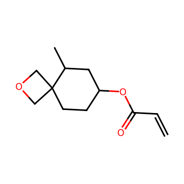 C=CC(=O)OC1CCC2(COC2)C(C)C1